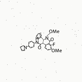 COCCN1C(=O)c2c(ccc(OC)c2F)C(C(=O)Nc2ccc(-n3cccc3)cc2)C1c1cccs1